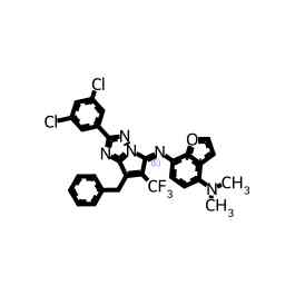 CN(C)c1ccc(/N=C2\C(C(F)(F)F)=C(Cc3ccccc3)c3nc(-c4cc(Cl)cc(Cl)c4)nn32)c2occc12